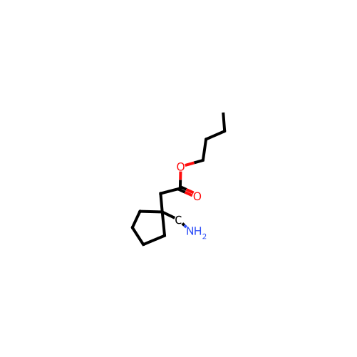 CCCCOC(=O)CC1(CN)CCCC1